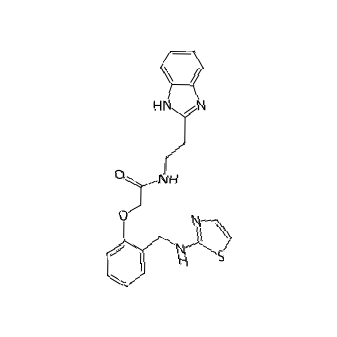 O=C(COc1ccccc1CNc1nccs1)NCCc1nc2ccccc2[nH]1